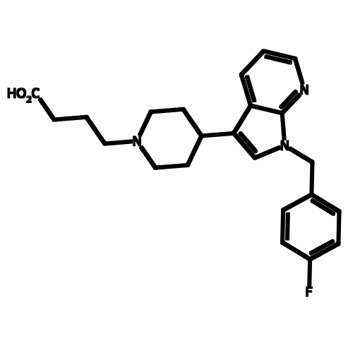 O=C(O)CCCN1CCC(c2cn(Cc3ccc(F)cc3)c3ncccc23)CC1